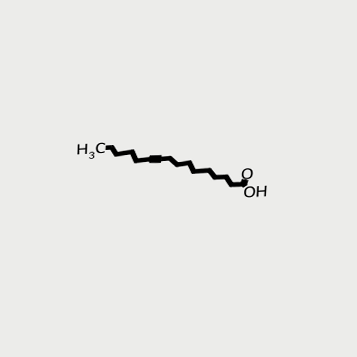 CCCCCC#CCCCCCCCCC(=O)O